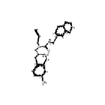 C=CCN(C[C@@H]1Cc2ccc(O)cc2CN1)C(=O)NCc1ccc2ccccc2c1